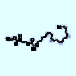 CC/C=C\C/C=C\C/C=C\C/C=C\C/C=C\CCCCOC(CC)C(=O)OCCNC(=O)OC(C)(C)C